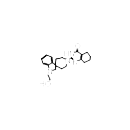 O=c1[nH]c(N2CCC3(CC2)CN(CCO)c2ccccc23)nc2c1CCCC2